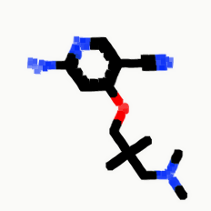 CN(C)CC(C)(C)COc1cc(N)ncc1C#N